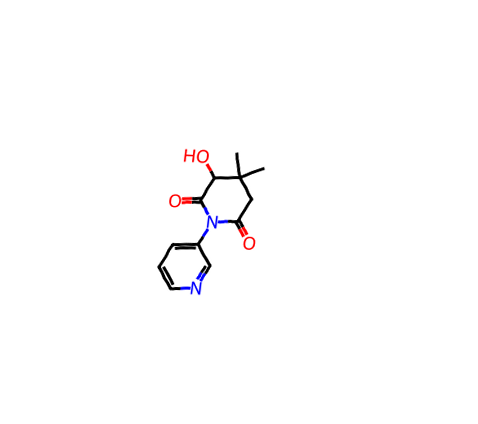 CC1(C)CC(=O)N(c2cccnc2)C(=O)C1O